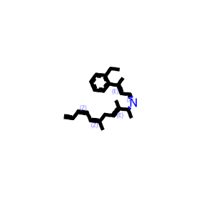 C=C/C=C\C=C(\C)C/C=C(\C)C(C)/N=C\C=C(/C)c1ccccc1CC